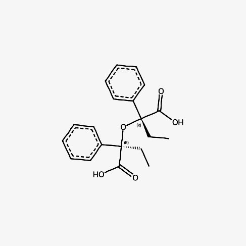 CC[C@](O[C@@](CC)(C(=O)O)c1ccccc1)(C(=O)O)c1ccccc1